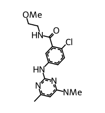 CNc1cc(C)nc(Nc2ccc(Cl)c(C(=O)NCCOC)c2)n1